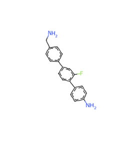 NCc1ccc(-c2ccc(-c3ccc(N)cc3)c(F)c2)cc1